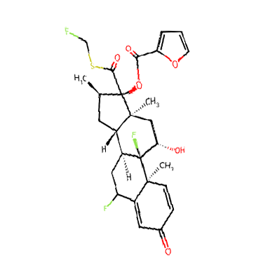 C[C@@H]1C[C@H]2[C@@H]3CC(F)C4=CC(=O)C=C[C@]4(C)[C@@]3(F)[C@@H](O)C[C@]2(C)[C@@]1(OC(=O)c1ccco1)C(=O)SCF